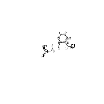 F[SiH](F)CCCc1ccccc1CCl